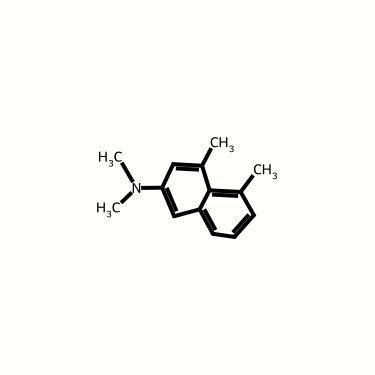 Cc1cccc2cc(N(C)C)cc(C)c12